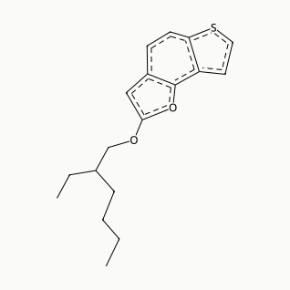 CCCCC(CC)COc1cc2ccc3sccc3c2o1